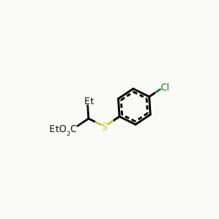 CCOC(=O)C(CC)Sc1ccc(Cl)cc1